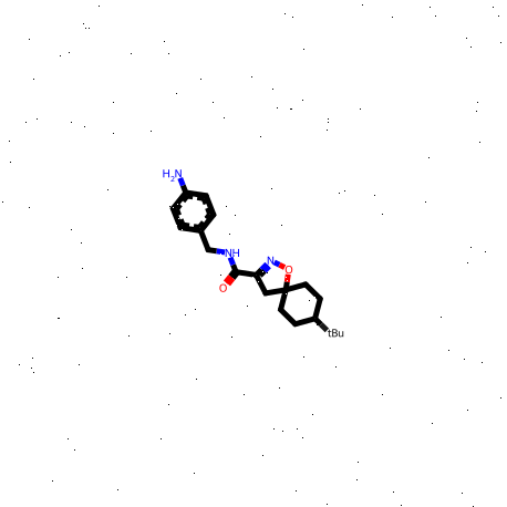 CC(C)(C)C1CCC2(CC1)CC(C(=O)NCc1ccc(N)cc1)=NO2